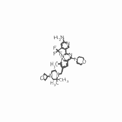 Cc1c(CN2CCN(C3COC3)CC2(C)C)cc2c(N3CCOCC3)nc(-c3cnc(N)cc3C(F)(F)F)nn12